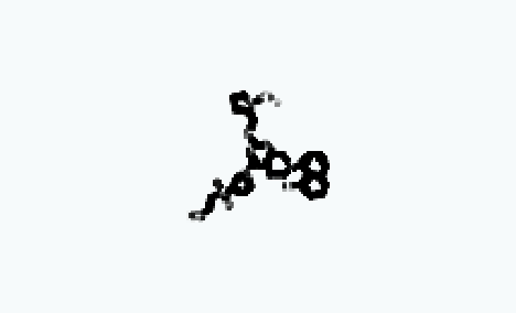 CN1CCCC1COc1nc2c(c(N3CCC(S(=O)(=O)CCO)C3)n1)CCN(c1cccc3cccc(Cl)c13)C2